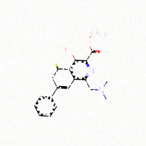 CCCCOC(=O)c1nc(CN(C)C)c2c(c1O)C(=S)CC(c1ccccc1)=C2